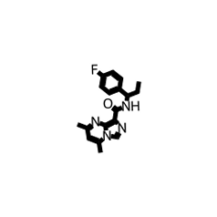 CCC(NC(=O)c1ncn2c(C)cc(C)nc12)c1ccc(F)cc1